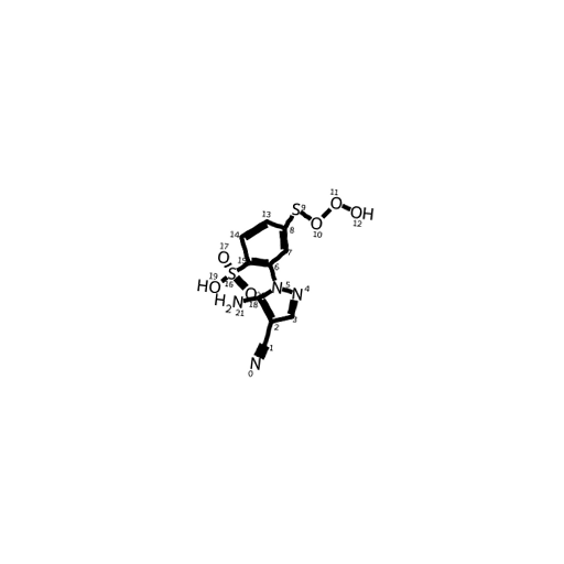 N#Cc1cnn(-c2cc(SOOO)ccc2S(=O)(=O)O)c1N